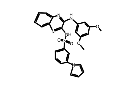 COc1cc(Nc2nc3ccccc3nc2NS(=O)(=O)c2cccc(-n3cccc3)c2)cc(OC)c1